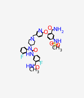 CNC(=O)c1cc(NC(=O)N(c2cccc(F)c2)C2CCN(Cc3ccc(Oc4ccc(NS(C)(=O)=O)cc4C(N)=O)nc3)CC2)ccc1F